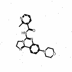 Cc1ncccc1C(=O)NC1=Nc2cc(N3CCOCC3)ccc2C2=NCCN12